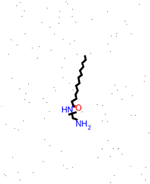 CCCCCCCCCCCCCC(=O)NC(C)(C)CCN